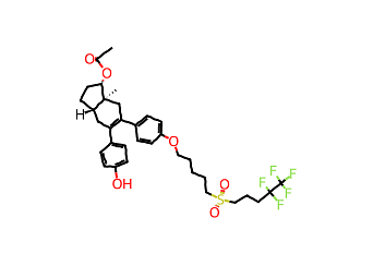 CC(=O)O[C@H]1CC[C@H]2CC(c3ccc(O)cc3)=C(c3ccc(OCCCCCS(=O)(=O)CCCC(F)(F)C(F)(F)F)cc3)C[C@@]21C